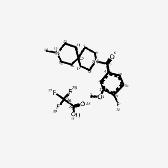 COc1cc(C(=O)N2CCC3(CCN(C)CC3)CC2)ccc1F.O=C(O)C(F)(F)F